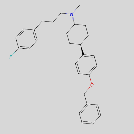 CN(CCCc1ccc(F)cc1)[C@H]1CC[C@H](c2ccc(OCc3ccccc3)cc2)CC1